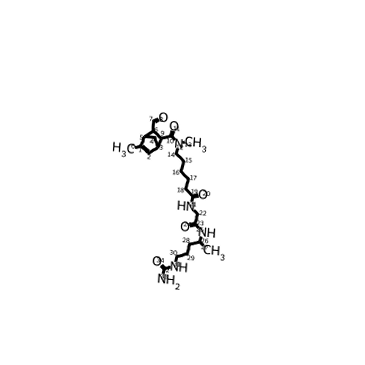 CC1=CC2CC1C(C=O)C2C(=O)N(C)CCCCCC(=O)NCC(=O)NC(C)CCCNC(N)=O